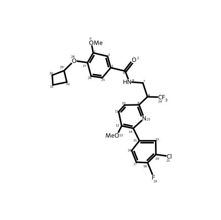 COc1cc(C(=O)NCC(c2ccc(OC)c(-c3ccc(F)c(Cl)c3)n2)C(F)(F)F)ccc1OC1CCC1